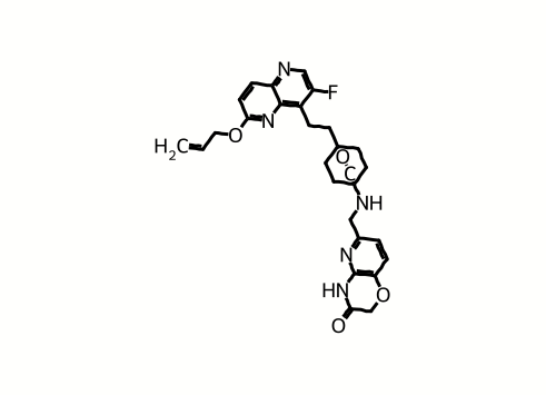 C=CCOc1ccc2ncc(F)c(CCC34CCC(NCc5ccc6c(n5)NC(=O)CO6)(CC3)CO4)c2n1